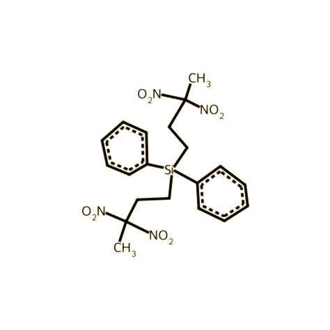 CC(CC[Si](CCC(C)([N+](=O)[O-])[N+](=O)[O-])(c1ccccc1)c1ccccc1)([N+](=O)[O-])[N+](=O)[O-]